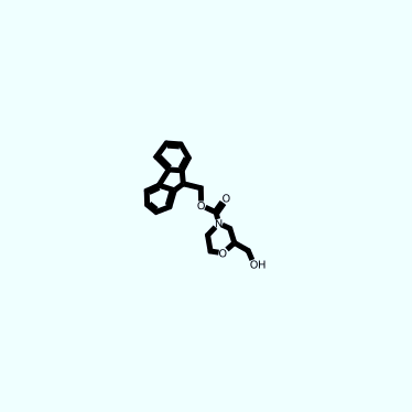 O=C(OCC1c2ccccc2-c2ccccc21)N1CCOC(CO)C1